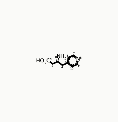 N[C@H](CC(=O)O)Cc1ccncc1